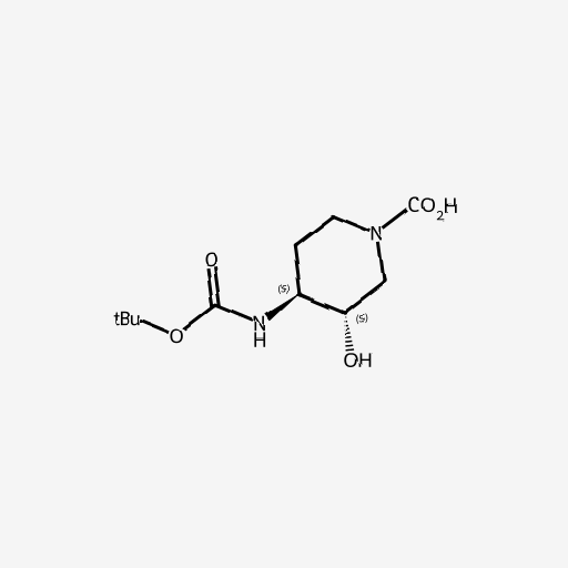 CC(C)(C)OC(=O)N[C@H]1CCN(C(=O)O)C[C@@H]1O